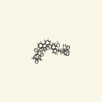 COc1nc(-c2cccc(-c3cccc(NC(=O)c4cn(C)c(=O)n(C)c4=O)c3Cl)c2Cl)cc2c1[C@@H](NC[C@@H]1COCC(=O)N1)CC2